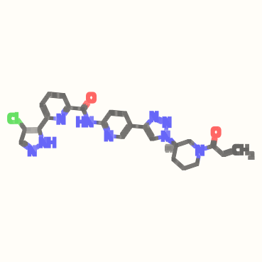 C=CC(=O)N1CCC[C@@H](n2cc(-c3ccc(NC(=O)c4cccc(-c5[nH]ncc5Cl)n4)nc3)nn2)C1